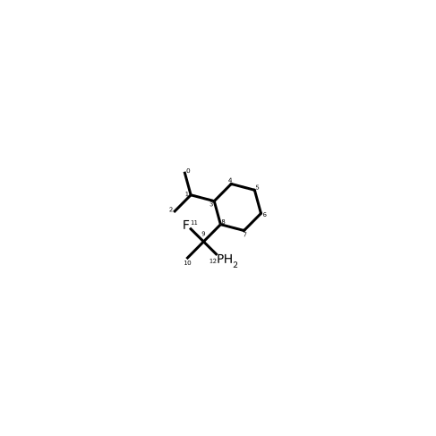 CC(C)C1CCCCC1C(C)(F)P